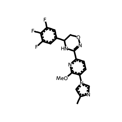 COc1nc(C2=NOCC(c3cc(F)c(F)c(F)c3)N2)ccc1-n1cnc(C)c1